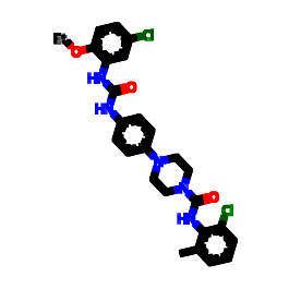 CCOc1ccc(Cl)cc1NC(=O)Nc1ccc(N2CCN(C(=O)Nc3c(C)cccc3Cl)CC2)cc1